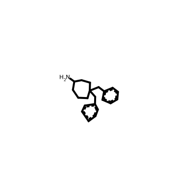 NC1CCCC(Cc2ccccc2)(Cc2ccccc2)CC1